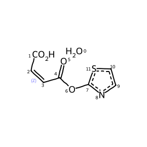 O.O=C(O)/C=C\C(=O)Oc1nccs1